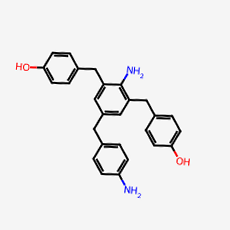 Nc1ccc(Cc2cc(Cc3ccc(O)cc3)c(N)c(Cc3ccc(O)cc3)c2)cc1